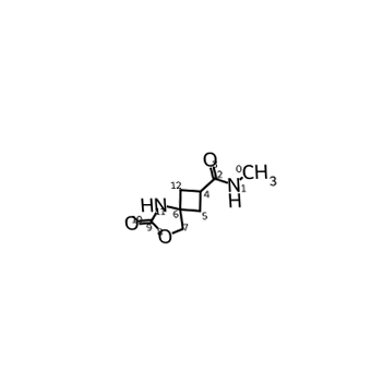 CNC(=O)C1CC2(COC(=O)N2)C1